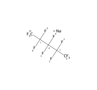 FC(F)(F)C(F)(F)C(F)(F)C(F)(F)C(F)(F)F.[Na]